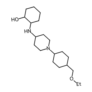 CCOCC1CCC(N2CCC(NC3CCCCC3O)CC2)CC1